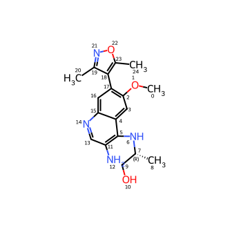 COc1cc2c(N[C@H](C)CO)c(N)cnc2cc1-c1c(C)noc1C